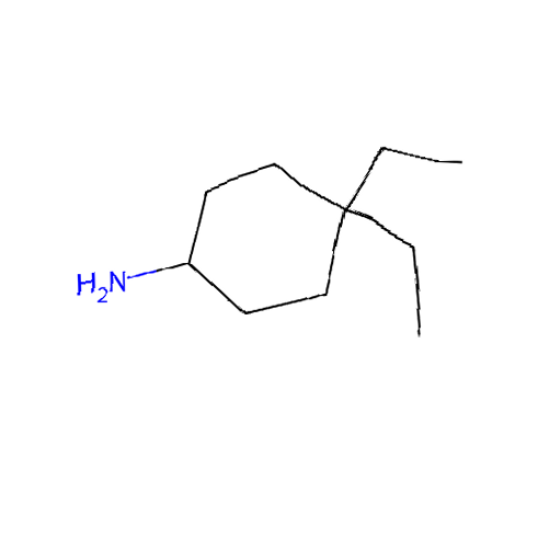 CCC1(CC)CCC(N)CC1